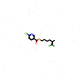 CC(CCCCSC(=O)c1ccc(Cl)nc1)=C(F)F